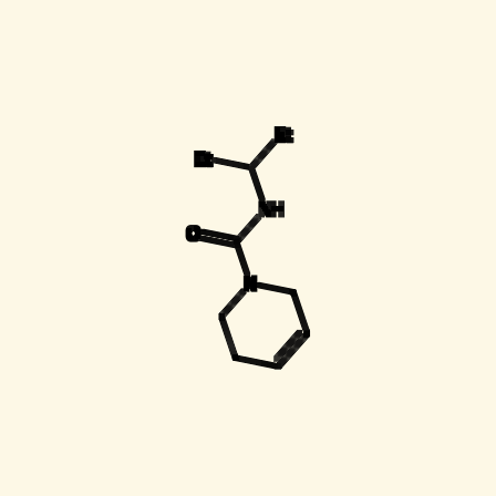 CCC(CC)NC(=O)N1CC=CCC1